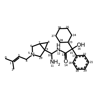 CC(C)=CCN1CC2CC2(C(N)NC(=O)C(O)(c2ccccc2)C2CCCCC2)C1